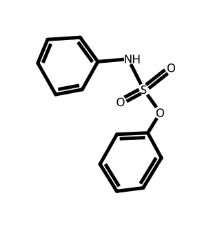 O=S(=O)(Nc1ccccc1)Oc1ccccc1